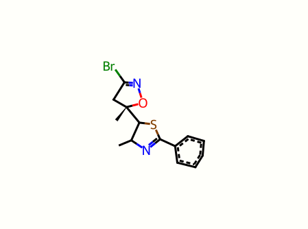 CC1N=C(c2ccccc2)SC1[C@]1(C)CC(Br)=NO1